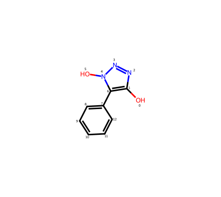 Oc1nnn(O)c1-c1ccccc1